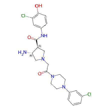 N[C@H]1CN(CC(=O)N2CCN(c3cccc(Cl)c3)CC2)C[C@@H]1C(=O)Nc1ccc(O)c(Cl)c1